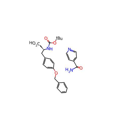 CC(C)(C)OC(=O)N[C@@H](Cc1ccc(OCc2ccccc2)cc1)C(=O)O.NC(=O)c1ccncc1